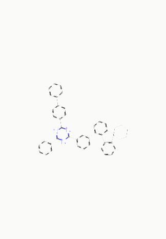 c1ccc(-c2ccc(-c3nc(-c4ccccc4)nc(-c4cccc(-c5cccc6c5-c5ccccc5C65CCCCC5)c4)n3)cc2)cc1